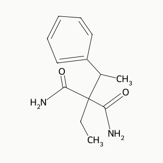 CCC(C(N)=O)(C(N)=O)C(C)c1ccccc1